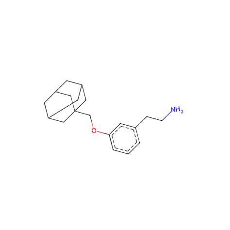 NCCc1cccc(OCC23CC4CC(CC(C4)C2)C3)c1